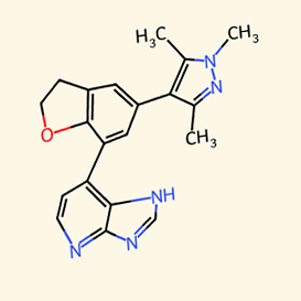 Cc1nn(C)c(C)c1-c1cc2c(c(-c3ccnc4nc[nH]c34)c1)OCC2